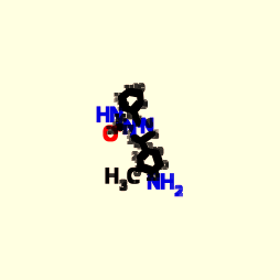 Cc1cc(C2CN=C3c4ccccc4NC(=O)N3C2)ccc1N